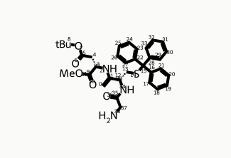 C=C(N[C@@H](CC(=O)OC(C)(C)C)C(=O)OC)[C@H](CSC(c1ccccc1)(c1ccccc1)c1ccccc1)NC(=O)CN